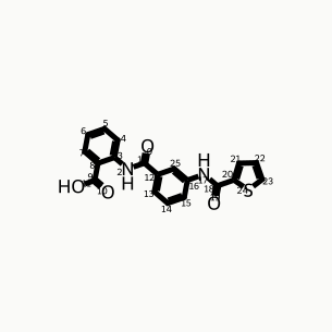 O=C(Nc1ccccc1C(=O)O)c1cccc(NC(=O)c2cccs2)c1